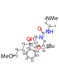 CNCC(C)NC(=O)N1CCC[C@@H](C(O)(CCCCOC)c2ccccc2OCC(C)(C)C)C1